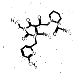 CCn1c(=O)c(C(=O)CN2CCCC[C@@H]2C(N)=O)c(N)n(Cc2cccc(C)n2)c1=O